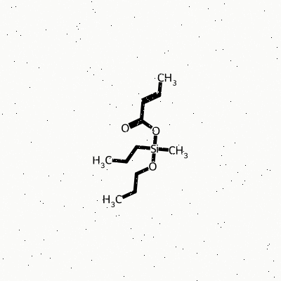 CC=CC(=O)O[Si](C)(CCC)OCCC